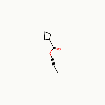 CC#COC(=O)C1CCC1